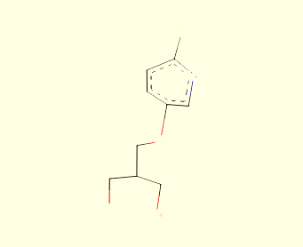 OCC(CO)COc1ccc(Br)nc1